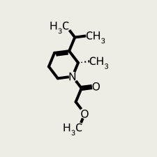 COCC(=O)N1CCC=C(C(C)C)[C@@H]1C